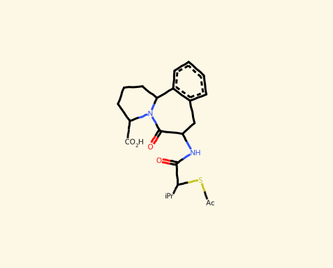 CC(=O)SC(C(=O)NC1Cc2ccccc2C2CCCC(C(=O)O)N2C1=O)C(C)C